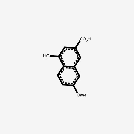 COc1ccc2c(O)cc(C(=O)O)cc2c1